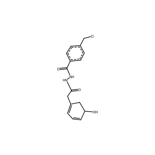 O=C(CC1=CC=CC(O)C1)NNC(=O)c1ccc(CCl)cc1